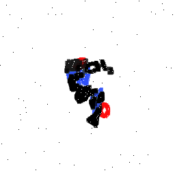 Cn1c(=O)n(CC(C)(C)C)c2ccc(-c3cccc(CN4CCN(C(=O)C5CC5)CC4)c3)nc21